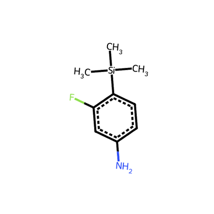 C[Si](C)(C)c1ccc(N)cc1F